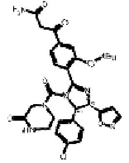 CC(C)(C)Oc1cc(C(=O)CC(N)=O)ccc1C1=N[C@@H](c2ccno2)[C@@H](c2ccc(Cl)cc2)N1C(=O)N1CCNC(=O)C1